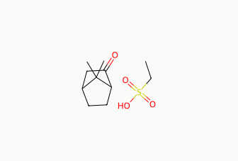 CC1(C)C2CCC1C(=O)C2.CCS(=O)(=O)O